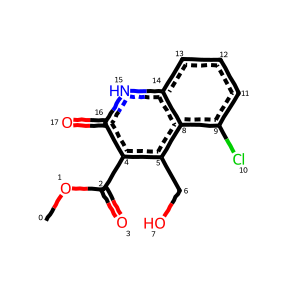 COC(=O)c1c(CO)c2c(Cl)cccc2[nH]c1=O